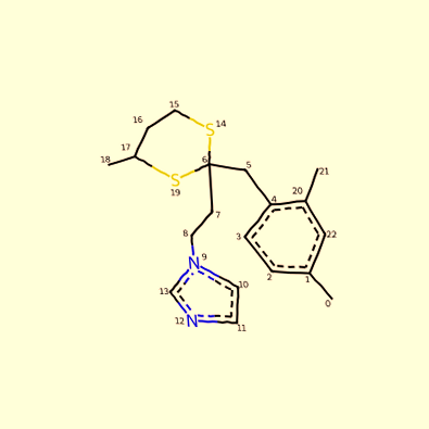 Cc1ccc(CC2(CCn3ccnc3)SCCC(C)S2)c(C)c1